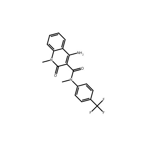 CN(C(=O)c1c(N)c2ccccc2n(C)c1=O)c1ccc(C(F)(F)F)cc1